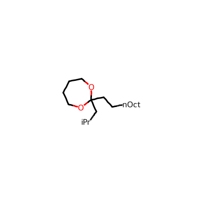 CCCCCCCCCCC1(CC(C)C)OCCCCO1